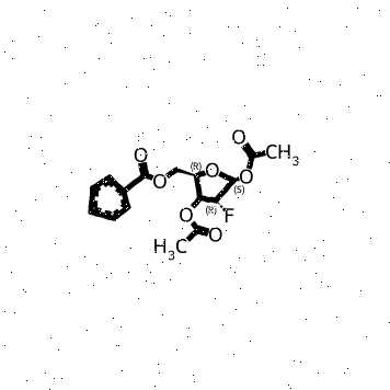 CC(=O)OC1[C@@H](F)[C@H](OC(C)=O)O[C@@H]1COC(=O)c1ccccc1